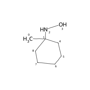 CC1(NO)CCCCC1